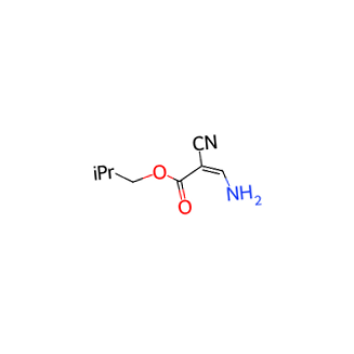 CC(C)COC(=O)/C(C#N)=C\N